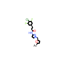 CC(=O)c1ccc(Cn2ccc(NC(=O)C=Cc3cc(F)c(Cl)c(F)c3)n2)o1